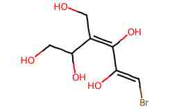 OC/C(=C(O)/C(O)=C/Br)C(O)CO